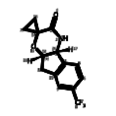 O=C1N[C@@H]2c3ccc(C(F)(F)F)cc3C[C@@H]2OC12CC2